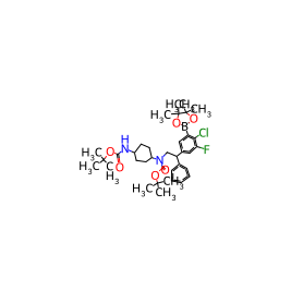 CC(C)(C)OC(=O)NC1CCC(N(CC(c2ccccc2)c2cc(F)c(Cl)c(B3OC(C)(C)C(C)(C)O3)c2)C(=O)OC(C)(C)C)CC1